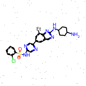 CCc1cc(-c2cnc(NS(=O)(=O)c3ccccc3Cl)cn2)cc2cnc(NC3CCC(N)CC3)nc12